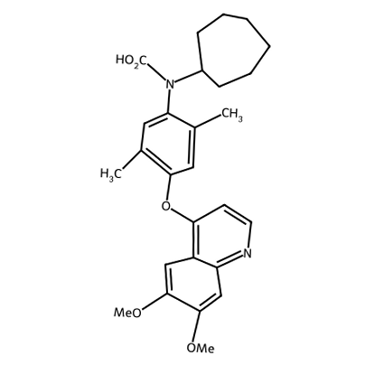 COc1cc2nccc(Oc3cc(C)c(N(C(=O)O)C4CCCCCC4)cc3C)c2cc1OC